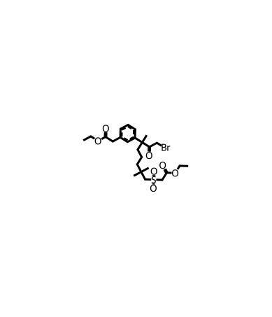 CCOC(=O)Cc1cccc(C(C)(CCCC(C)(C)CS(=O)(=O)CC(=O)OCC)C(=O)CBr)c1